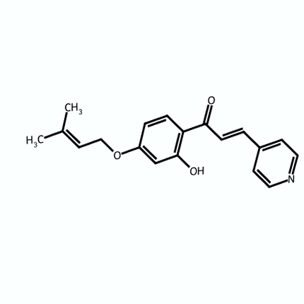 CC(C)=CCOc1ccc(C(=O)C=Cc2ccncc2)c(O)c1